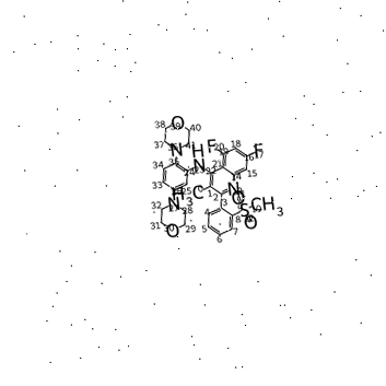 Cc1c(-c2ccccc2S(C)(=O)=O)nc2cc(F)cc(F)c2c1Nc1cc(N2CCOCC2)ccc1N1CCOCC1